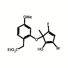 CCOC(=O)Cc1ccc(OC)cc1OC1(C)C(F)=CC(Br)=C1O